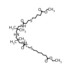 CCOC(=O)CCCCCCSCCC(=O)NCC(C)(C)CNCC(C)(C)CNC(=O)CCSCCCCC(=O)OCC